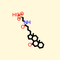 CC12CCC3C(C(=O)CC4CCCCC43C)C1CCC2CCCC(=O)NCCS(=O)(=O)O